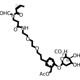 C/C=C\C(=O)N(C=O)CCC(=O)NCCOCCOCCCc1ccc(OC2CC(O)[C@H](O)C(C(=O)O)O2)c(COC(C)=O)c1